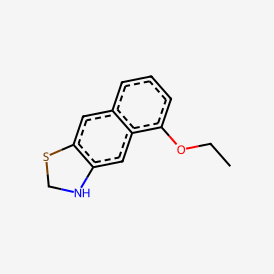 CCOc1cccc2cc3c(cc12)NCS3